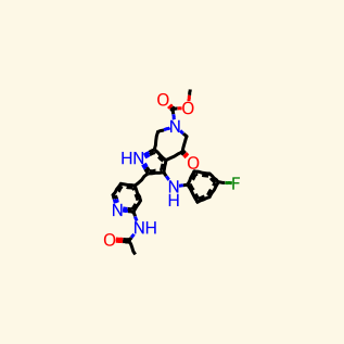 COC(=O)N1CC(=O)c2c([nH]c(-c3ccnc(NC(C)=O)c3)c2Nc2ccc(F)cc2)C1